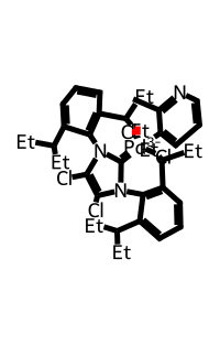 CCC(CC)c1cccc(C(CC)CC)c1-n1c(Cl)c(Cl)n(-c2c(C(CC)CC)cccc2C(CC)CC)[c]1=[Pd-3]([Cl])([Cl])[c]1cccnc1C